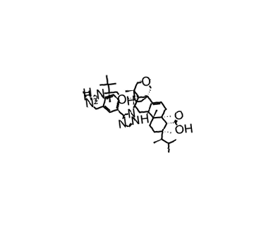 CC(C)[C@@H](C)[C@@]1(C)CC[C@]2(C)[C@H]3CC[C@@H]4[C@@]5(COC[C@@]4(C)[C@@H](OC[C@](C)(N)C(C)(C)C)[C@H](n4ncnc4-c4cccc(CN)c4)C5)C3=CC[C@@]2(C)[C@@H]1C(=O)O